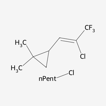 CC1(C)CC1/C=C(\Cl)C(F)(F)F.CCCCCCl